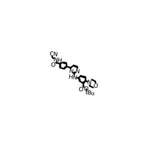 CC(C)(C)OC(=O)c1cc(Nc2nccc(-c3ccc(C(=O)NCC#N)cc3)n2)ccc1N1CCOCC1